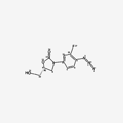 [N-]=[N+]=Nc1ccc(N2C[C@H](CO)OC2=O)cc1F